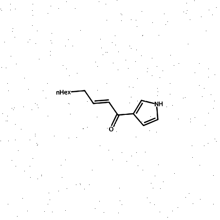 CCCCCCCC=CC(=O)c1cc[nH]c1